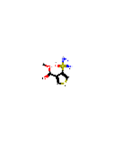 COC(=O)c1cscc1S(=N)(N)=O